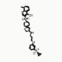 Cc1cccc2c(O)c(S(=O)(=O)N3CCC4(CC3)CC(NCCCOc3cccc(S(=O)(=O)C5CC5)c3)CO4)cnc12